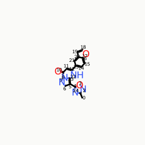 Cc1noc(-c2cnn3c(=O)cc(-c4ccc5occc5c4)[nH]c23)n1